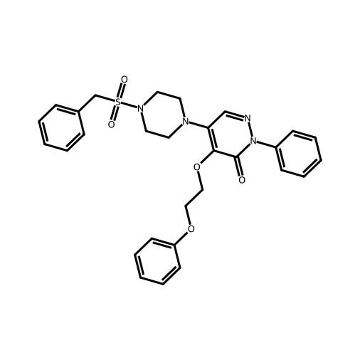 O=c1c(OCCOc2ccccc2)c(N2CCN(S(=O)(=O)Cc3ccccc3)CC2)cnn1-c1ccccc1